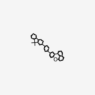 CC1(C)c2ccccc2-c2ccc(-c3ccc(-c4ccc5c(c4)-c4cccc6cccc(c46)O5)cc3)cc21